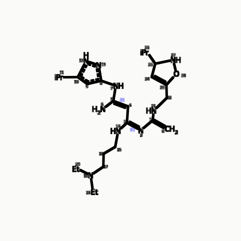 C=C(/N=C(\C=C(/N)Nc1cc(C(C)C)[nH]n1)NCCCN(CC)CC)NCC1=CC(C(C)C)NO1